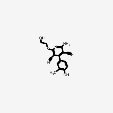 Cc1cc(-c2c(C#N)c(N)nc(SCCO)c2C#N)ccc1O